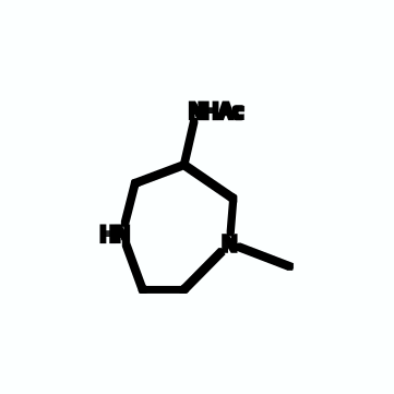 CC(=O)NC1CNCCN(C)C1